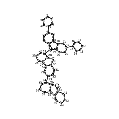 c1ccc(-c2ccc3c(c2)c2cc(-c4ccccc4)ccc2n3-c2cccc3c2sc2ccc(-c4cccc5c4oc4ccccc45)cc23)cc1